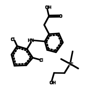 C[N+](C)(C)CCO.O=C(O)Cc1ccccc1Nc1c(Cl)cccc1Cl